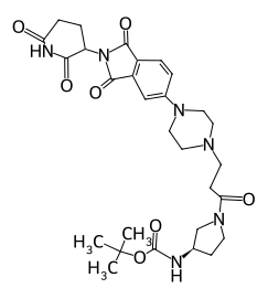 CC(C)(C)OC(=O)N[C@@H]1CCN(C(=O)CCN2CCN(c3ccc4c(c3)C(=O)N(C3CCC(=O)NC3=O)C4=O)CC2)C1